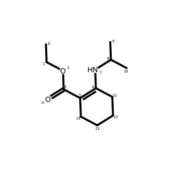 CCOC(=O)C1=C(NC(C)C)CCCC1